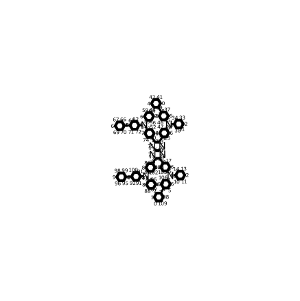 c1ccc(-c2ccc(N(c3ccccc3)c3ccc(-c4nc5nc(-c6ccc(N(c7ccccc7)c7ccc(-c8ccccc8)cc7)cc6)c(-c6ccc(N(c7ccccc7)c7ccc(-c8ccccc8)cc7)cc6)nc5nc4-c4ccc(N(c5ccccc5)c5ccc(-c6ccccc6)cc5)cc4)cc3)cc2)cc1